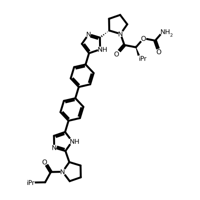 CC(C)CC(=O)N1CCCC1c1ncc(-c2ccc(-c3ccc(-c4cnc([C@@H]5CCCN5C(=O)[C@@H](OC(N)=O)C(C)C)[nH]4)cc3)cc2)[nH]1